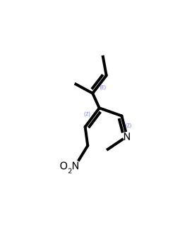 C/C=C(C)/C(/C=N\C)=C/C[N+](=O)[O-]